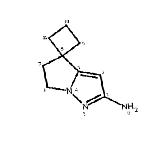 Nc1cc2n(n1)CCC21CCC1